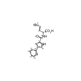 CC(C)(C)/C=C/[C@@H](NC(=O)c1cc(-c2ccccn2)c[nH]1)C(=O)O